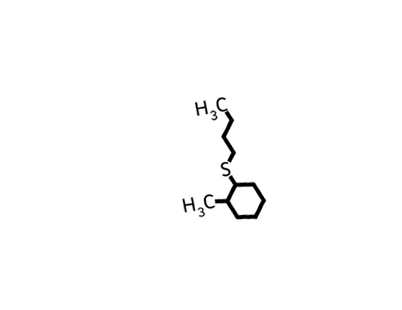 CCCCSC1CCCCC1C